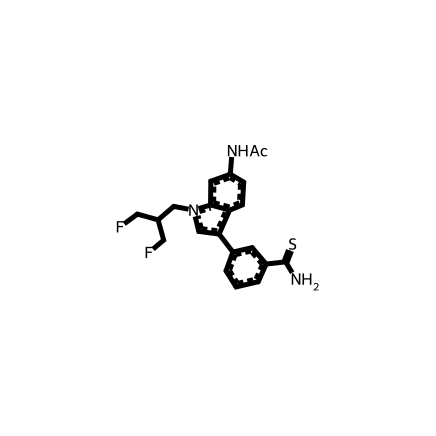 CC(=O)Nc1ccc2c(-c3cccc(C(N)=S)c3)cn(CC(CF)CF)c2c1